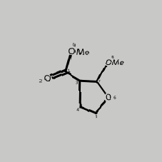 COC(=O)C1CCOC1OC